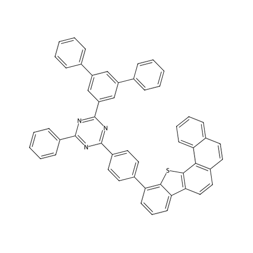 c1ccc(-c2cc(-c3ccccc3)cc(-c3nc(-c4ccccc4)nc(-c4ccc(-c5cccc6c5sc5c6ccc6ccc7ccccc7c65)cc4)n3)c2)cc1